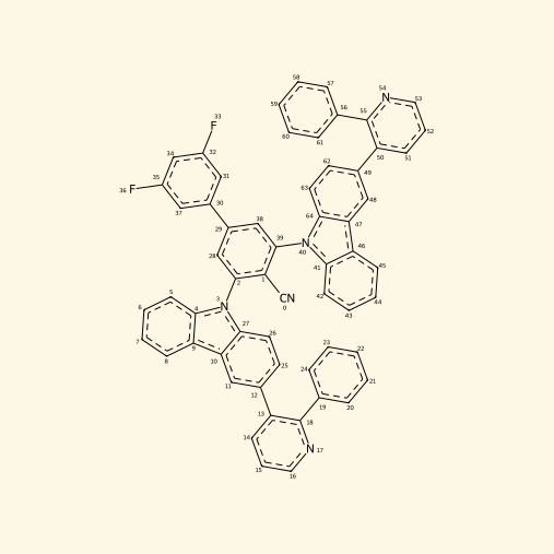 N#Cc1c(-n2c3ccccc3c3cc(-c4cccnc4-c4ccccc4)ccc32)cc(-c2cc(F)cc(F)c2)cc1-n1c2ccccc2c2cc(-c3cccnc3-c3ccccc3)ccc21